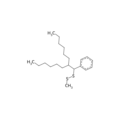 CCCCCCC(CCCCCC)C(SSC)c1ccccc1